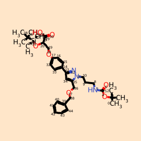 CC(C)(C)OC(=O)NCCCn1nc(-c2ccc(OCC(O[Si](C)(C)C(C)(C)C)C(=O)O)cc2)cc1COCc1ccccc1